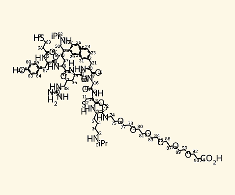 CC(C)NCCCCC(NC(=O)C(CS)NC(=O)CNC(=O)C(Cc1ccc2ccccc2c1)NC(=O)[C@@H](CCCNC(=N)N)NC(=O)C(CCCCNC(C)C)NC(=O)C(Cc1ccc(O)cc1)NC(=O)CCS)C(=O)NCCOCCOCCOCCOCCOCCOCCC(=O)O